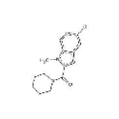 Cn1c(C(=O)N2CCCCC2)cc2cc(Cl)ccc21